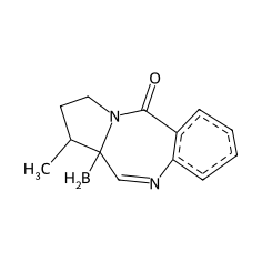 BC12C=Nc3ccccc3C(=O)N1CCC2C